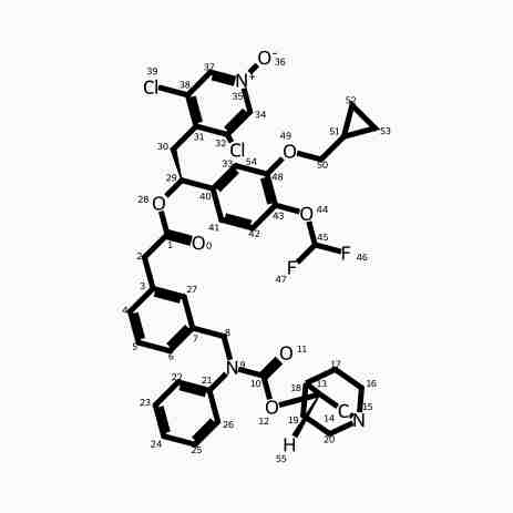 O=C(Cc1cccc(CN(C(=O)O[C@H]2CN3CCC2CC3)c2ccccc2)c1)O[C@@H](Cc1c(Cl)c[n+]([O-])cc1Cl)c1ccc(OC(F)F)c(OCC2CC2)c1